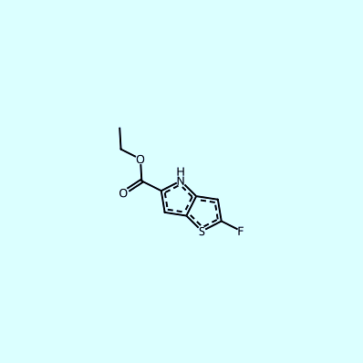 CCOC(=O)c1cc2sc(F)cc2[nH]1